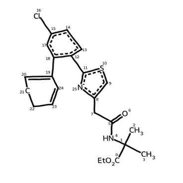 CCOC(=O)C(C)(C)NC(=O)Cc1csc(-c2ccc(Cl)cc2C2=CCCC=C2)n1